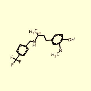 COc1cc(CC[C@H](C)NCc2ccc(C(F)(F)F)cc2)ccc1O